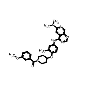 COc1cccc(C(=O)N2CCC(Oc3ccc(Nc4ncnc5cnc(N(C)C)cc45)cc3C)CC2)c1